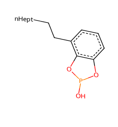 CCCCCCCCCc1cccc2c1OP(O)O2